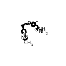 Cc1cnc(N2CCC(C3CC3CCOc3ccc(CC(=O)NN)c(F)c3)CC2)nc1